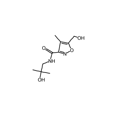 Cc1c(C(=O)NCC(C)(C)O)noc1CO